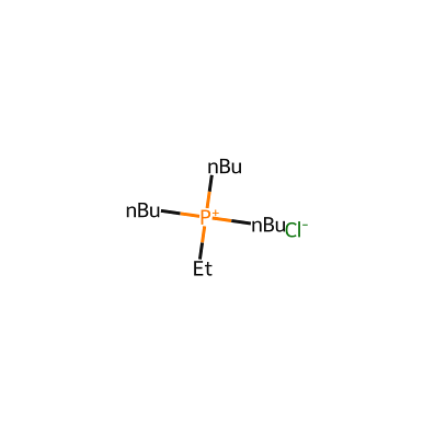 CCCC[P+](CC)(CCCC)CCCC.[Cl-]